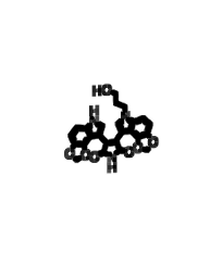 O=C1NC(=O)C(c2cn(CCCO)c3ccc4c(c23)OCO4)=C1c1c[nH]c2ccc3c(c12)OCO3